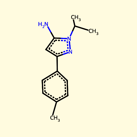 Cc1ccc(-c2cc(N)n(C(C)C)n2)cc1